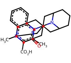 CC12CC3CC(C)(C1)CC(N1C4CCCC1CC(n1c(=O)c(C(=O)O)nc5ccccc51)C4)(C3)C2